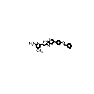 Cc1cc(N)nc(CCc2nc3cc(-c4ccc(OCc5ccccc5)cc4)cnc3[nH]2)c1